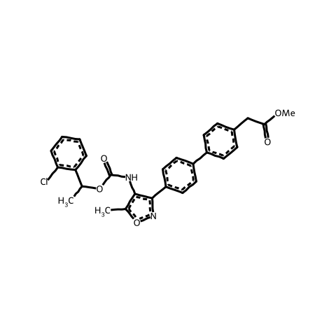 COC(=O)Cc1ccc(-c2ccc(-c3noc(C)c3NC(=O)OC(C)c3ccccc3Cl)cc2)cc1